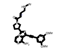 COc1cc(C#Cc2nc(C3CCN(C(=O)/C=C/CNC(C)C)C3)n3ccnc(N)c23)cc(OC)c1